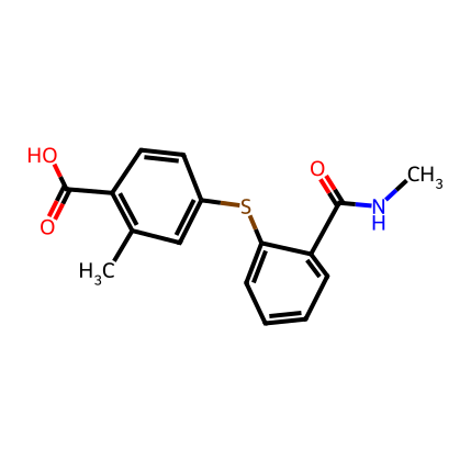 CNC(=O)c1ccccc1Sc1ccc(C(=O)O)c(C)c1